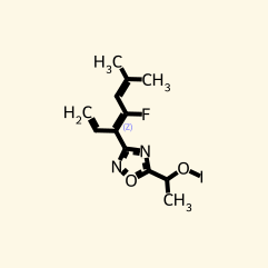 C=C/C(=C(/F)C=C(C)C)c1noc(C(C)OI)n1